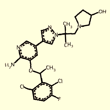 CC(Oc1cc(-c2cnn(C(C)(C)CN3CCC(O)C3)c2)cnc1N)c1c(Cl)ccc(F)c1Cl